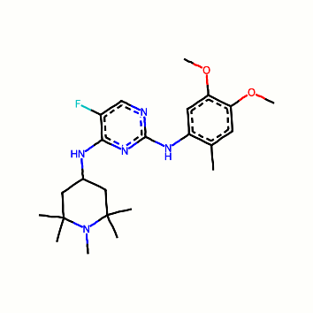 COc1cc(C)c(Nc2ncc(F)c(NC3CC(C)(C)N(C)C(C)(C)C3)n2)cc1OC